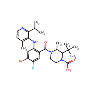 Cc1ccnc(C(C)C)c1Nc1cc(Br)c(F)cc1C(=O)N1CCN(C(=O)O)C(C(C)(C)C)C1C